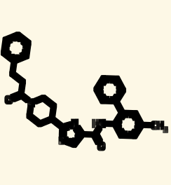 Cc1ccc(NC(=O)c2csc(C3CCN(C(=O)CCc4ccccc4)CC3)n2)c(-c2ccccc2)c1